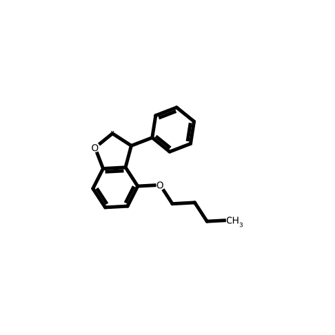 CCCCOc1cccc2c1C(c1ccccc1)[C]O2